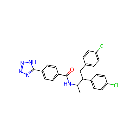 CC(NC(=O)c1ccc(-c2nnn[nH]2)cc1)C(Cc1ccc(Cl)cc1)c1ccc(Cl)cc1